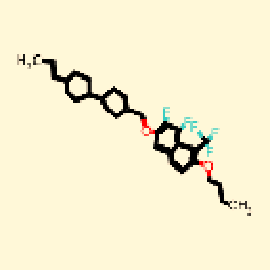 CCCCOc1ccc2cc(OCC3CCC(C4CCC(CCC)CC4)CC3)c(F)c(F)c2c1C(F)(F)F